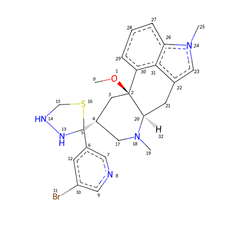 CO[C@]12C[C@@H](C3(c4cncc(Br)c4)NNCS3)CN(C)[C@@H]1Cc1cn(C)c3cccc2c13